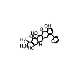 C=C(N)C1=C(O)C[C@@H]2CC3Cc4c(-c5ccco5)ccc(O)c4C(=O)C3=C(O)[C@]2(O)C1=O